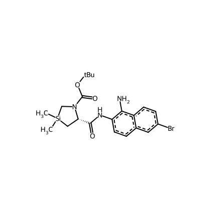 CC(C)(C)OC(=O)N1C[Si](C)(C)C[C@H]1C(=O)Nc1ccc2cc(Br)ccc2c1N